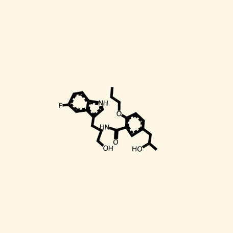 CCCOc1ccc(CC(C)O)cc1C(=O)NC(CO)Cc1c[nH]c2ccc(F)cc12